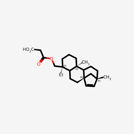 CC[C@]1(COC(=O)CC(=O)O)CCC[C@@]2(C)C3CC[C@]4(C)C=C[C@@]3(CCC12)C4